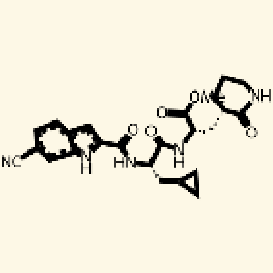 COC(=O)[C@H](C[C@@H]1CCCNC1=O)NC(=O)[C@H](CC1CC1)NC(=O)c1cc2ccc(C#N)cc2[nH]1